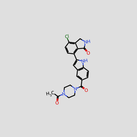 CC(=O)N1CCN(C(=O)c2ccc3[nH]c(-c4ccc(Cl)c5c4C(=O)NC5)cc3c2)CC1